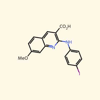 COc1ccc2cc(C(=O)O)c(Nc3ccc(I)cc3)nc2c1